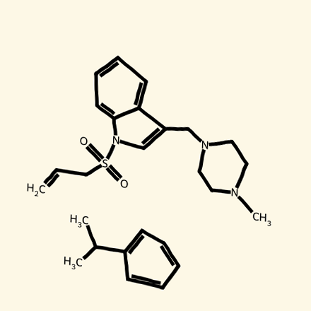 C=CCS(=O)(=O)n1cc(CN2CCN(C)CC2)c2ccccc21.CC(C)c1ccccc1